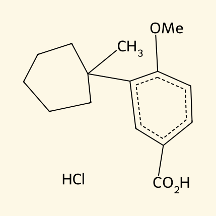 COc1ccc(C(=O)O)cc1C1(C)CCCCC1.Cl